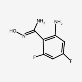 NC(=NO)c1c(N)cc(F)cc1F